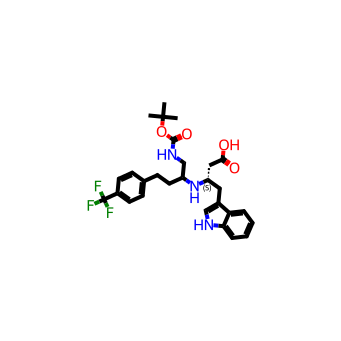 CC(C)(C)OC(=O)NCC(CCc1ccc(C(F)(F)F)cc1)N[C@H](CC(=O)O)Cc1c[nH]c2ccccc12